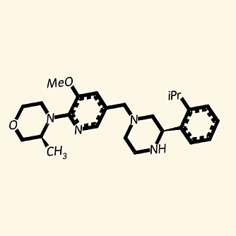 COc1cc(CN2CCN[C@H](c3ccccc3C(C)C)C2)cnc1N1CCOC[C@@H]1C